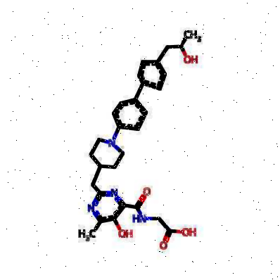 Cc1nc(CC2CCN(c3ccc(-c4ccc(C[C@@H](C)O)cc4)cc3)CC2)nc(C(=O)NCC(=O)O)c1O